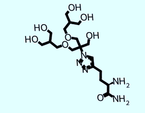 NC(=O)[C@H](N)CCc1cn(C(CO)(COCC(CO)CO)COCC(CO)CO)nn1